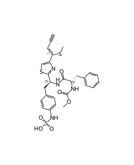 C#C/C=C(\SC)c1csc([C@H](Cc2ccc(NS(=O)(=O)O)cc2)NC(=O)[C@H](Cc2ccccc2)NC(=O)OC)n1